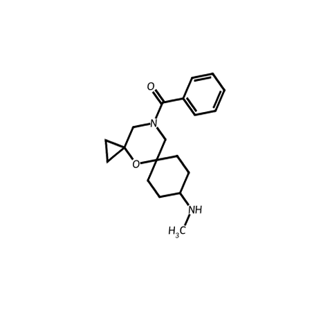 CNC1CCC2(CC1)CN(C(=O)c1ccccc1)CC1(CC1)O2